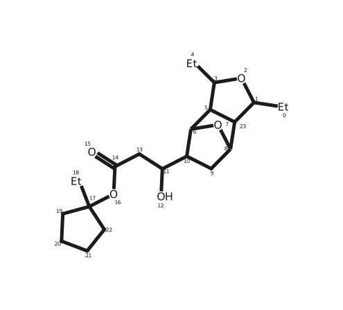 CCC1OC(CC)C2C3OC(CC3C(O)CC(=O)OC3(CC)CCCC3)C12